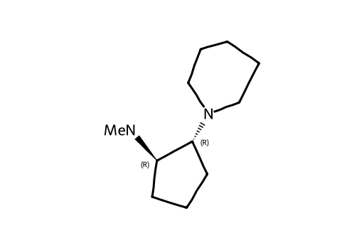 CN[C@@H]1CCC[C@H]1N1CCCCC1